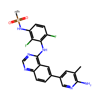 CCCS(=O)(=O)Nc1ccc(F)c(Nc2ncnc3ccc(-c4cnc(N)c(C)c4)cc23)c1F